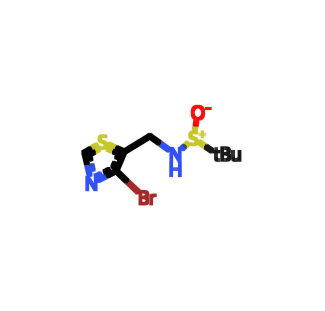 CC(C)(C)[S+]([O-])NCc1scnc1Br